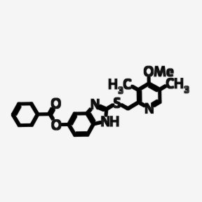 COc1c(C)cnc(CSc2nc3cc(OC(=O)C4CC=CCC4)ccc3[nH]2)c1C